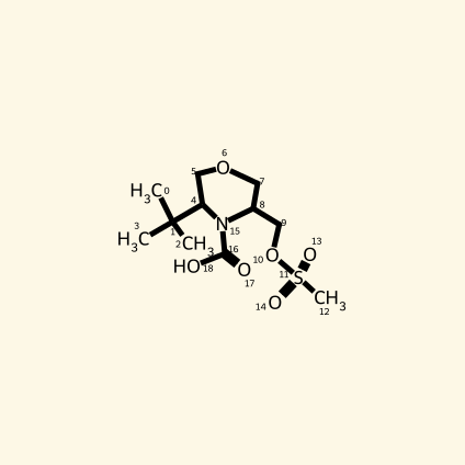 CC(C)(C)C1COCC(COS(C)(=O)=O)N1C(=O)O